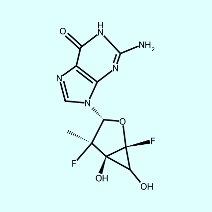 C[C@]1(F)[C@H](n2cnc3c(=O)[nH]c(N)nc32)O[C@]2(F)C(O)[C@]12O